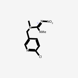 CN/C(=N\[N+](=O)[O-])N(C)Cc1ccc(Cl)nc1